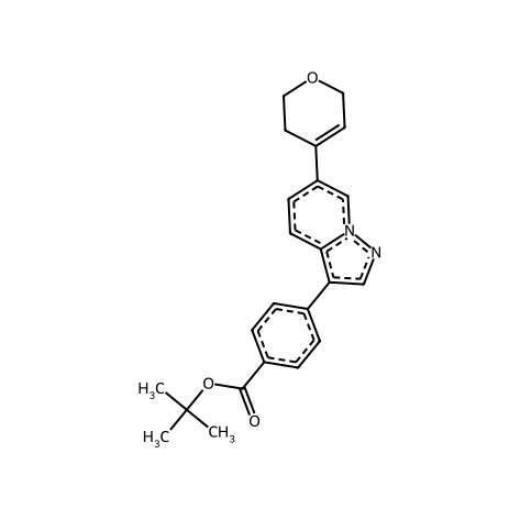 CC(C)(C)OC(=O)c1ccc(-c2cnn3cc(C4=CCOCC4)ccc23)cc1